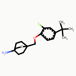 CC(C)(C)c1ccc(OCC23CCC(N)(CC2)CC3)c(F)c1